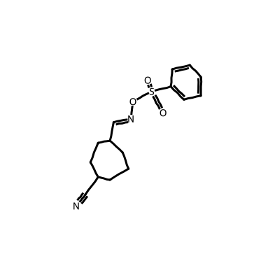 N#CC1CCCC(C=NOS(=O)(=O)c2ccccc2)CC1